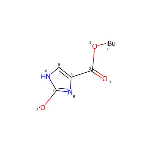 CCC(C)OC(=O)c1c[nH]c([O])n1